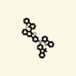 CC1(C)c2ccccc2-c2ccc(N(c3ccc4c(c3)oc3c(-c5cccc6c5oc5ccccc56)c5ccccc5cc34)c3cccc4c3sc3ccccc34)cc21